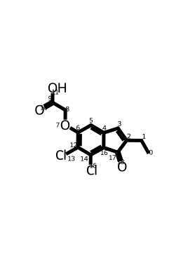 CCC1=Cc2cc(OCC(=O)O)c(Cl)c(Cl)c2C1=O